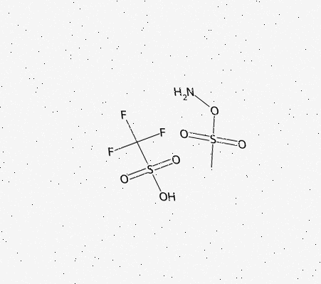 CS(=O)(=O)ON.O=S(=O)(O)C(F)(F)F